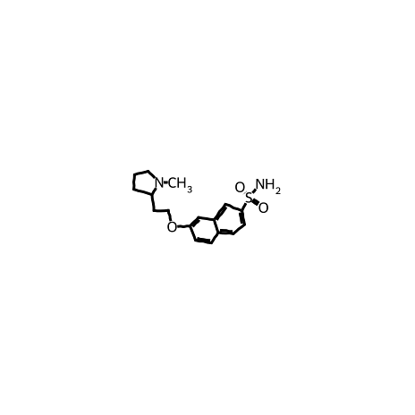 CN1CCCC1CCOc1ccc2ccc(S(N)(=O)=O)cc2c1